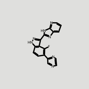 Fc1c(-c2cnccn2)ccc2[nH]nc(-c3nc4cccnc4[nH]3)c12